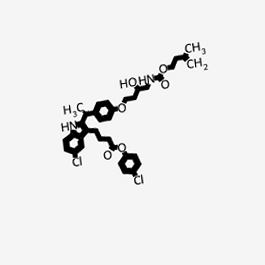 C=C(C)CCOC(=O)NCC(O)CCOc1ccc([C@H](C)c2[nH]c3ccc(Cl)cc3c2CCCC(=O)Oc2ccc(Cl)cc2)cc1